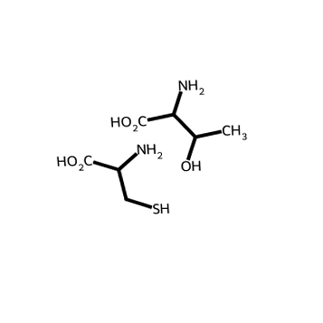 CC(O)C(N)C(=O)O.NC(CS)C(=O)O